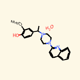 COc1cc(C(C)N2CCN(c3ccc4ccccc4n3)CC2)ccc1O.O